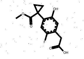 COC(=O)C1(c2cc(F)c(CC(=O)O)cc2O)CC1